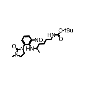 C[C@H](CCCCNC(=O)OC(C)(C)C)Nc1c(N2CCN(C)C2=O)cccc1[N+](=O)[O-]